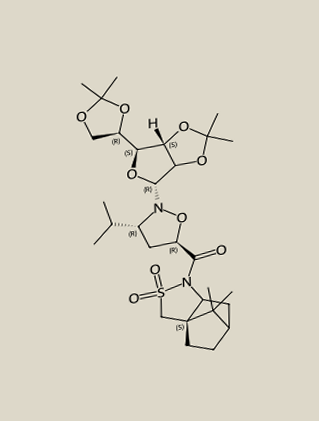 CC(C)[C@H]1C[C@H](C(=O)N2C3CC4CC[C@]3(CS2(=O)=O)C4(C)C)ON1[C@@H]1O[C@@H]([C@H]2COC(C)(C)O2)[C@@H]2OC(C)(C)OC21